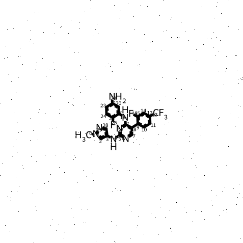 Cn1cc(Nc2ncc(-c3ccc(C(F)(F)F)cc3F)c(Nc3cc(N)ccc3F)n2)cn1